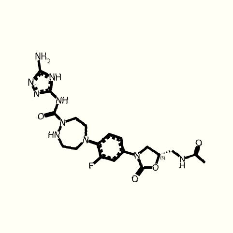 CC(=O)NC[C@H]1CN(c2ccc(N3CCNN(C(=O)Nc4nnc(N)[nH]4)CC3)c(F)c2)C(=O)O1